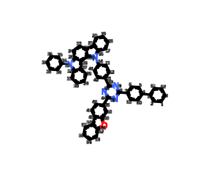 c1ccc(-c2ccc(-c3nc(-c4ccc(-n5c6ccccc6c6ccc7c(c8ccccc8n7-c7ccccc7)c65)cc4)nc(-c4ccc5c(c4)oc4ccccc45)n3)cc2)cc1